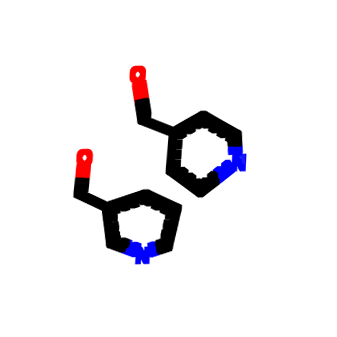 O=Cc1cccnc1.O=Cc1ccncc1